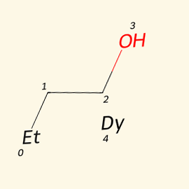 CCCCO.[Dy]